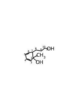 CC1(O)C=CC=CC1CCCO